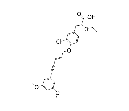 CCO[C@@H](Cc1ccc(OC/C=C/C#Cc2cc(OC)cc(OC)c2)c(Cl)c1)C(=O)O